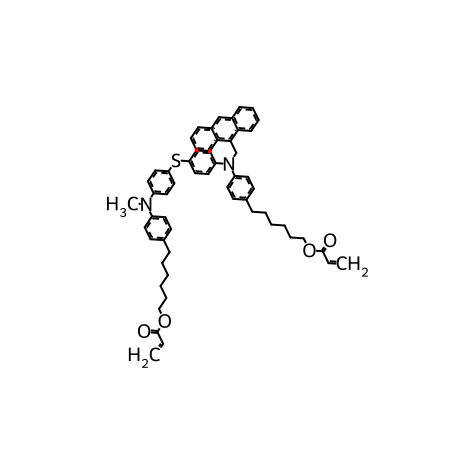 C=CC(=O)OCCCCCCc1ccc(N(C)c2ccc(Sc3ccc(N(Cc4c5ccccc5cc5ccccc45)c4ccc(CCCCCCOC(=O)C=C)cc4)cc3)cc2)cc1